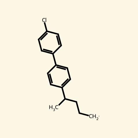 [CH2]CCC(C)c1ccc(-c2ccc(Cl)cc2)cc1